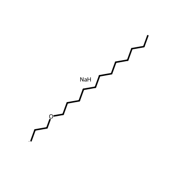 [CH2]CCOCCCCCCCCCCCC.[NaH]